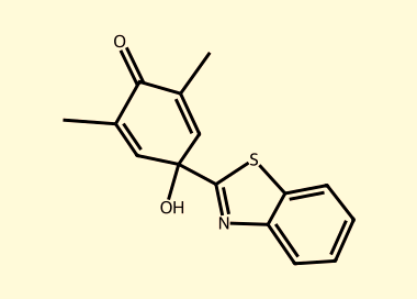 CC1=CC(O)(c2nc3ccccc3s2)C=C(C)C1=O